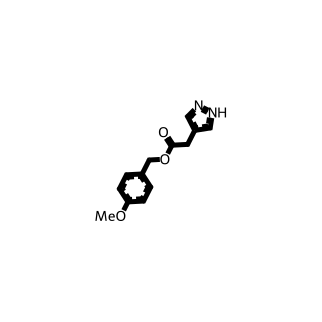 COc1ccc(COC(=O)Cc2cn[nH]c2)cc1